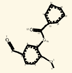 COc1ccc(C=O)cc1OC(=O)c1ccccc1